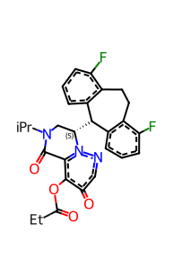 CCC(=O)Oc1c2n(ncc1=O)[C@@H](C1c3cccc(F)c3CCc3c(F)cccc31)CN(C(C)C)C2=O